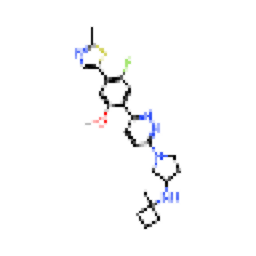 COc1cc(-c2cnc(C)s2)c(F)cc1-c1ccc(N2CCC(NC3(C)CCC3)C2)nn1